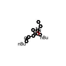 CCCCc1ccc(-c2nc(-c3cccc(-c4ccccc4)c3)nc(-c3ccccc3-n3c4ccccc4c4ccc(-c5ccc6oc7cc(CCCC)ccc7c6c5)cc43)n2)cc1